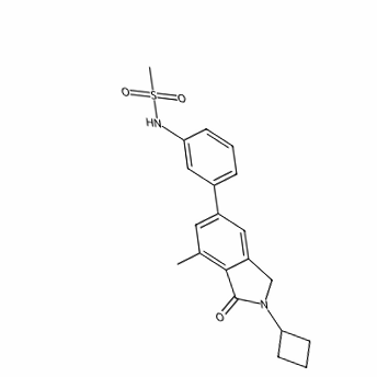 Cc1cc(-c2cccc(NS(C)(=O)=O)c2)cc2c1C(=O)N(C1CCC1)C2